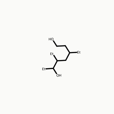 CCC(CCO)CC(CC)C(O)CC